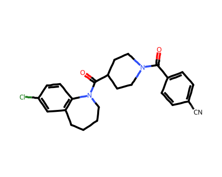 N#Cc1ccc(C(=O)N2CCC(C(=O)N3CCCCc4cc(Cl)ccc43)CC2)cc1